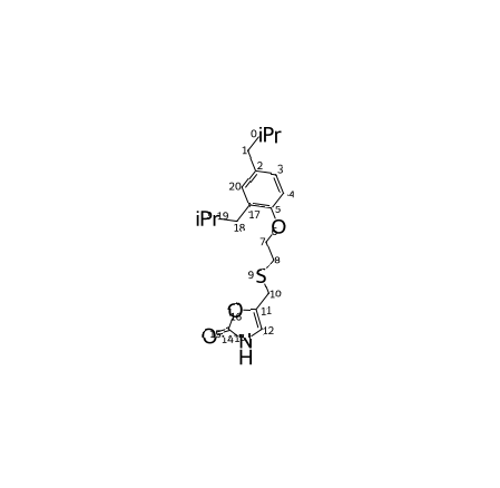 CC(C)Cc1ccc(OCCSCc2c[nH]c(=O)o2)c(CC(C)C)c1